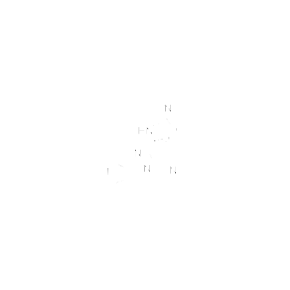 CC1C[C@H](NC(=O)c2nc(-c3cccc(F)c3)n3c2CN(C)CCC3)C(=O)N1C